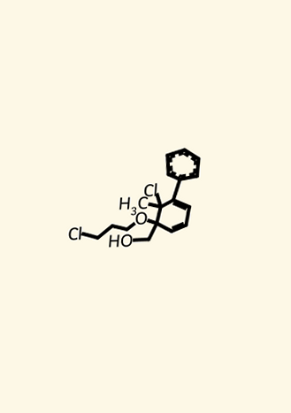 CC1(Cl)C(c2ccccc2)=CC=CC1(CO)OCCCCl